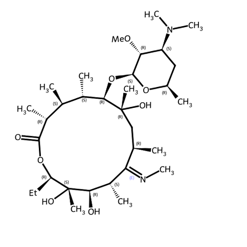 CC[C@H]1OC(=O)[C@H](C)[C@@H](C)[C@H](C)[C@@H](O[C@@H]2O[C@H](C)C[C@H](N(C)C)[C@H]2OC)[C@](C)(O)C[C@@H](C)/C(=N\C)[C@H](C)[C@@H](O)[C@]1(C)O